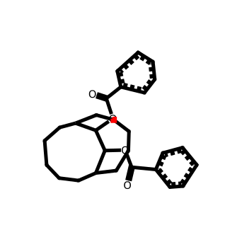 O=C(OC1C2CCCCCC(CCCCC2)C1OC(=O)c1ccccc1)c1ccccc1